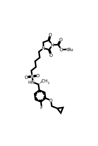 C[C@@H](NS(=O)(=O)CCCCCN1CC(=O)N(C(=O)OC(C)(C)C)C1=O)c1ccc(F)c(OCC2CC2)c1